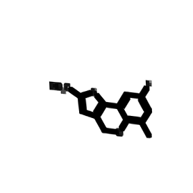 Cc1cc(F)cc2c1OCc1cc(C(=O)O)sc1-2